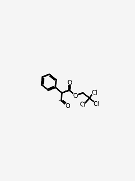 O=[C]C(C(=O)OCC(Cl)(Cl)Cl)c1ccccc1